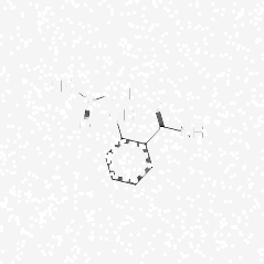 NC(=O)c1ccccc1O.O=[PH](O)O